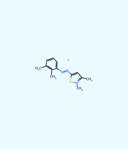 Cc1cccc(N=Nc2cc(C)[n+](C)s2)c1C.[I-]